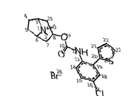 C[N+]1(C)C2CCC1CC(OC(=O)Nc1ccc(Cl)cc1-c1cccs1)C2.[Br-]